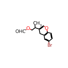 CC(COC=O)C1=COc2ccc(Br)cc2C1